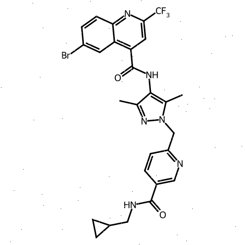 Cc1nn(Cc2ccc(C(=O)NCC3CC3)cn2)c(C)c1NC(=O)c1cc(C(F)(F)F)nc2ccc(Br)cc12